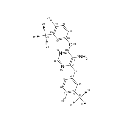 Nc1c(Cc2ccc(F)c(C(F)(F)F)c2)ncnc1Oc1ccc(F)c(C(F)(F)F)c1